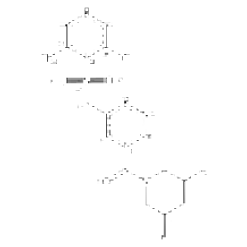 CC1CC(C)CN(C(=O)c2cncc(CS(=O)(=O)c3c(Cl)cccc3Cl)c2)C1